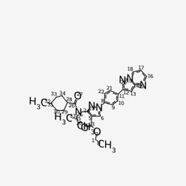 CCOC(=O)c1cn(-c2ccc(-c3cc4ncccn4n3)cc2)nc1N(C(=O)C1CCC(C)CC1)C(C)C